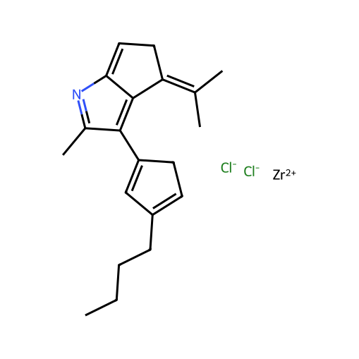 CCCCC1=CCC(C2=C3C(=CCC3=C(C)C)N=C2C)=C1.[Cl-].[Cl-].[Zr+2]